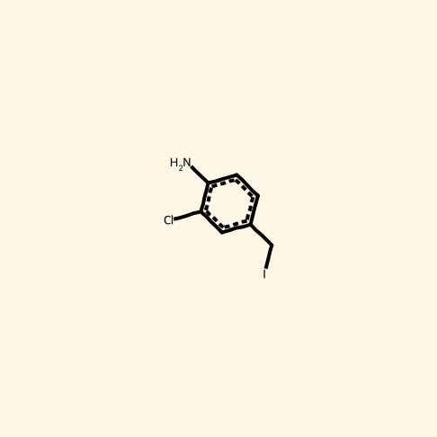 Nc1ccc(CI)cc1Cl